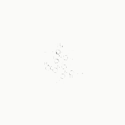 CC(C)(C)c1ccc(N(c2ccc(C(C)(C)C)cc2)c2ccc3c(c2)N(c2cccc4c2oc2ccccc24)c2cc(C(C)(C)C)cc4c2B3c2cc3c(cc2N4c2ccc4c(c2)C(C)(C)CCC4(C)C)C(C)(C)CCC3(C)C)cc1